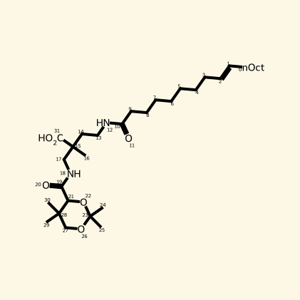 CCCCCCCCC=CCCCCCCCC(=O)NCCC(C)(CNC(=O)C1OC(C)(C)OCC1(C)C)C(=O)O